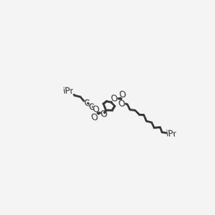 CC(C)CCCCCCCCCCOC(=O)OC1CCC(OC(=O)OCCCCCC(C)C)CC1